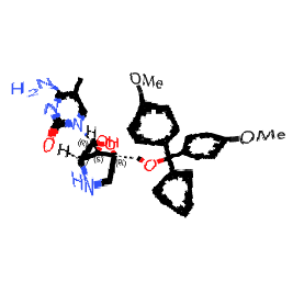 COc1ccc(C(OC[C@@]23CN[C@@H]([C@H](n4cc(C)c(N)nc4=O)O2)[C@@H]3O)(c2ccccc2)c2ccc(OC)cc2)cc1